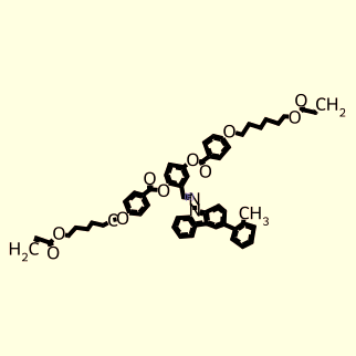 C=CC(=O)OCCCCCCOc1ccc(C(=O)Oc2ccc(OC(=O)c3ccc(OCCCCCCOC(=O)C=C)cc3)c(/C=N/n3c4ccccc4c4cc(-c5ccccc5C)ccc43)c2)cc1